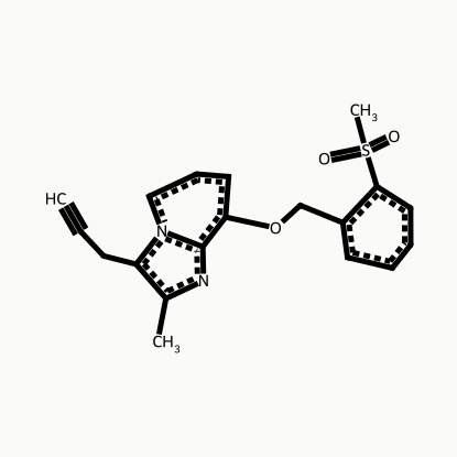 C#CCc1c(C)nc2c(OCc3ccccc3S(C)(=O)=O)cccn12